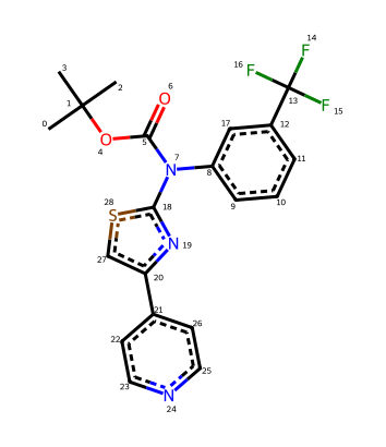 CC(C)(C)OC(=O)N(c1cccc(C(F)(F)F)c1)c1nc(-c2ccncc2)cs1